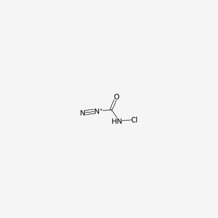 N#[N+]C(=O)NCl